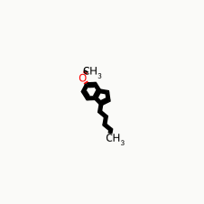 CCCCCC1=CCc2cc(OC)ccc21